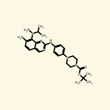 CC(C)N(N)c1c(N)ccc2cnc(Nc3ccc(N4CCN(C(=O)OC(C)(C)C)CC4)cc3)nc12